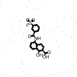 O=C(Nc1cccc2c(O)c(C(=O)O)ccc12)c1cccc(S(=O)(=O)F)c1